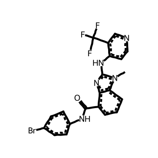 Cn1c(Nc2ccncc2C(F)(F)F)nc2c(C(=O)Nc3ccc(Br)cc3)cccc21